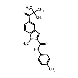 Cc1ccc(NC(=O)c2cc3cc(C(=O)C(C)(C)C)ccc3n2C)cc1